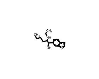 CCCCC(NCC)C(O)c1ccc2ccsc2c1